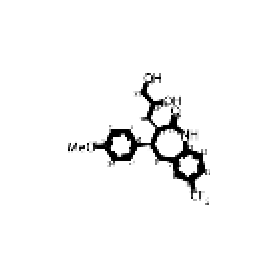 COc1ccc([C@@H]2Cc3cc(C(F)(F)F)ccc3NC(=O)[C@@H]2CC(O)CO)cc1